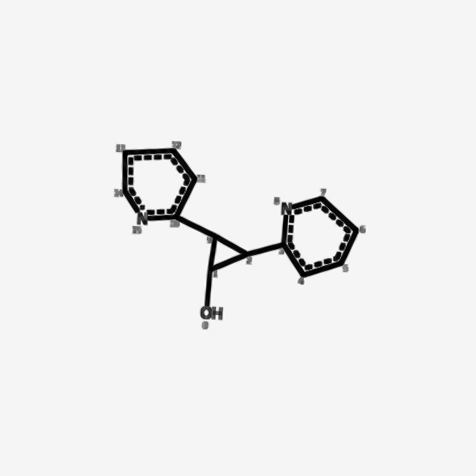 OC1C(c2ccccn2)C1c1ccccn1